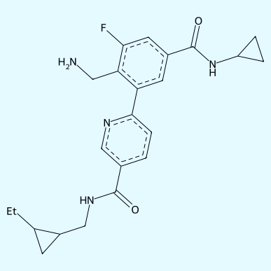 CCC1CC1CNC(=O)c1ccc(-c2cc(C(=O)NC3CC3)cc(F)c2CN)nc1